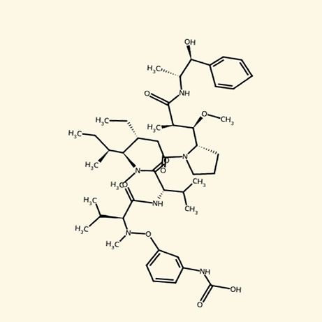 CC[C@H](CC(=O)N1CCC[C@H]1[C@H](OC)[C@@H](C)C(=O)N[C@H](C)[C@@H](O)c1ccccc1)[C@H]([C@@H](C)CC)N(C)C(=O)[C@@H](NC(=O)[C@H](C(C)C)N(C)Oc1cccc(NC(=O)O)c1)C(C)C